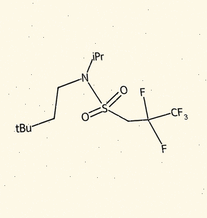 CC(C)N(CCC(C)(C)C)S(=O)(=O)CC(F)(F)C(F)(F)F